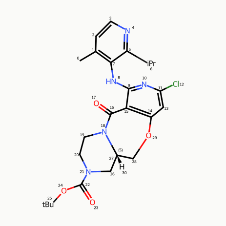 Cc1ccnc(C(C)C)c1Nc1nc(Cl)cc2c1C(=O)N1CCN(C(=O)OC(C)(C)C)C[C@H]1CO2